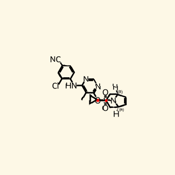 Cc1c(Nc2ccc(C#N)cc2Cl)ncnc1OC1C[C@@H]2C=C[C@@H](C1)N2S(=O)(=O)C1CC1